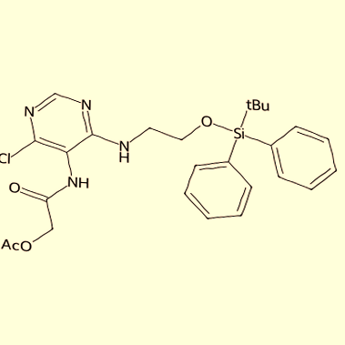 CC(=O)OCC(=O)Nc1c(Cl)ncnc1NCCO[Si](c1ccccc1)(c1ccccc1)C(C)(C)C